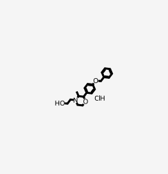 CC1C(c2ccc(OCc3ccccc3)cc2)OCCN1CCO.Cl